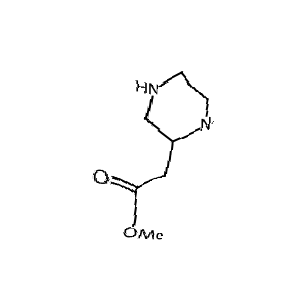 COC(=O)CC1CNCC[N]1